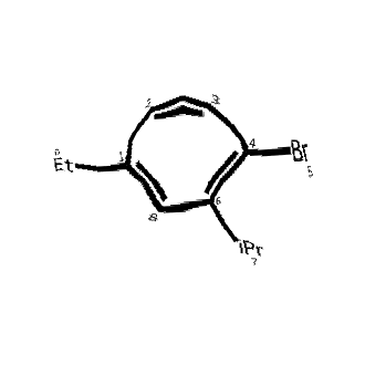 CCc1ccc(Br)c(C(C)C)c1